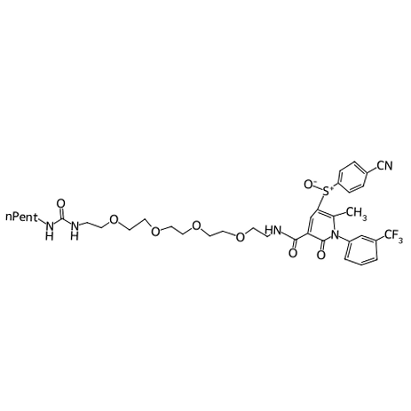 CCCCCNC(=O)NCCOCCOCCOCCOCCNC(=O)c1cc([S+]([O-])c2ccc(C#N)cc2)c(C)n(-c2cccc(C(F)(F)F)c2)c1=O